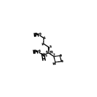 CC(C)CCC[C@H](NC(C)C)C1CCC1